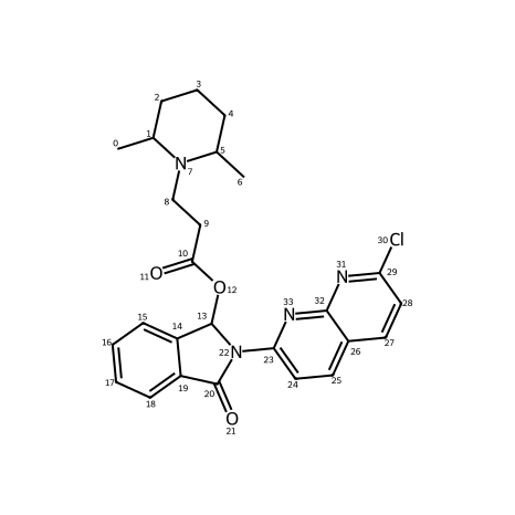 CC1CCCC(C)N1CCC(=O)OC1c2ccccc2C(=O)N1c1ccc2ccc(Cl)nc2n1